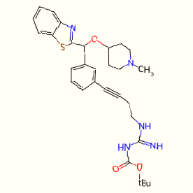 CN1CCC(OC(c2cccc(C#CCCNC(=N)NC(=O)OC(C)(C)C)c2)c2nc3ccccc3s2)CC1